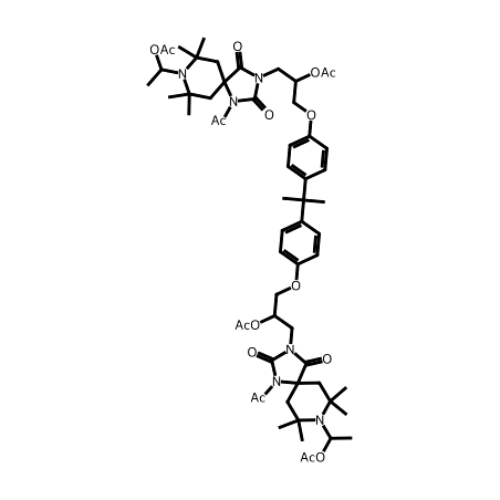 CC(=O)OC(COc1ccc(C(C)(C)c2ccc(OCC(CN3C(=O)N(C(C)=O)C4(CC(C)(C)N(C(C)OC(C)=O)C(C)(C)C4)C3=O)OC(C)=O)cc2)cc1)CN1C(=O)N(C(C)=O)C2(CC(C)(C)N(C(C)OC(C)=O)C(C)(C)C2)C1=O